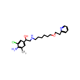 Nc1c(Cl)cc(C(O)CNCCCCCCOCCc2ccccn2)cc1C(F)(F)F